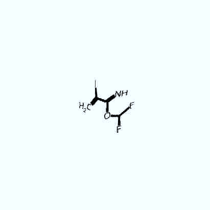 C=C(I)C(=N)OC(F)F